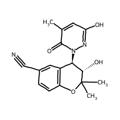 Cc1cc(O)nn([C@@H]2c3cc(C#N)ccc3OC(C)(C)[C@H]2O)c1=O